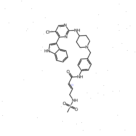 CS(=O)(=O)NC/C=C/C(=O)Nc1ccc(CN2CCC(Nc3ncc(Cl)c(-c4c[nH]c5ccccc45)n3)CC2)cc1